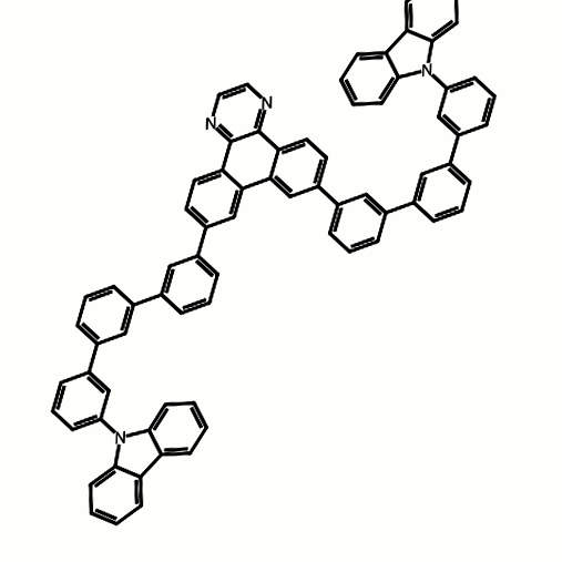 c1cc(-c2cccc(-c3ccc4c(c3)c3cc(-c5cccc(-c6cccc(-c7cccc(-n8c9ccccc9c9ccccc98)c7)c6)c5)ccc3c3nccnc43)c2)cc(-c2cccc(-n3c4ccccc4c4ccccc43)c2)c1